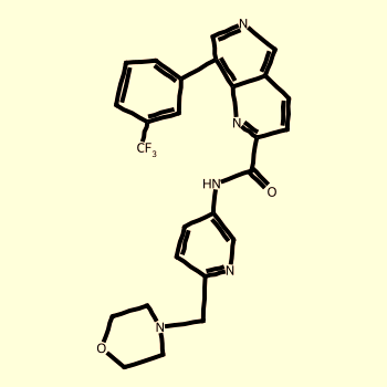 O=C(Nc1ccc(CN2CCOCC2)nc1)c1ccc2cncc(-c3cccc(C(F)(F)F)c3)c2n1